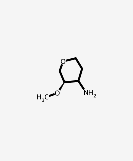 CO[C@H]1COCCC1N